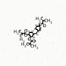 C=C(C)C(=O)Oc1ccc(Cc2ccc(OC(=O)C(=C)C)c(OC(=O)C(=C)C)c2)cc1